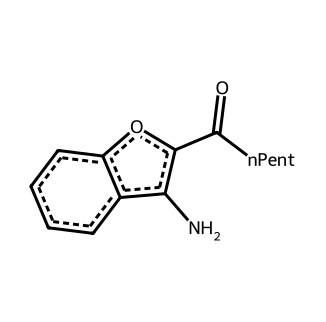 CCCCCC(=O)c1oc2ccccc2c1N